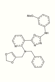 COc1cccc(Nc2nnc(-c3cccnc3N(CC3=COCO3)Cc3ccccc3)o2)c1